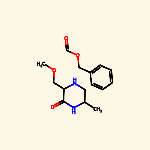 COCC1NCC(C)NC1=O.O=COCc1ccccc1